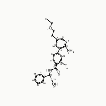 CCOCCc1cnc(N)c(-c2ccc(C(=O)NC(CO)c3ccccc3)c(F)c2)n1